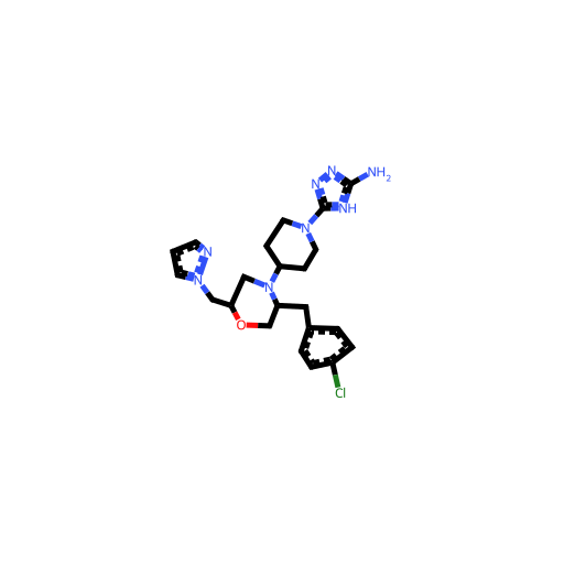 Nc1nnc(N2CCC(N3CC(Cn4cccn4)OCC3Cc3ccc(Cl)cc3)CC2)[nH]1